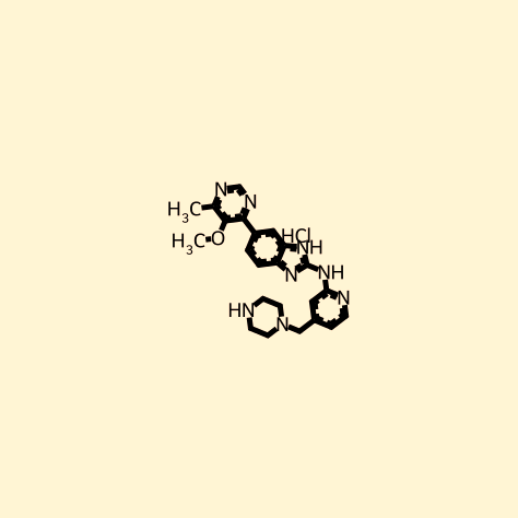 COc1c(C)ncnc1-c1ccc2nc(Nc3cc(CN4CCNCC4)ccn3)[nH]c2c1.Cl